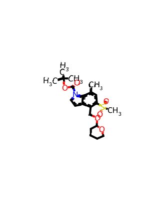 Cc1cc(S(C)(=O)=O)c(COC2CCCCO2)c2ccn(C(=O)OC(C)(C)C)c12